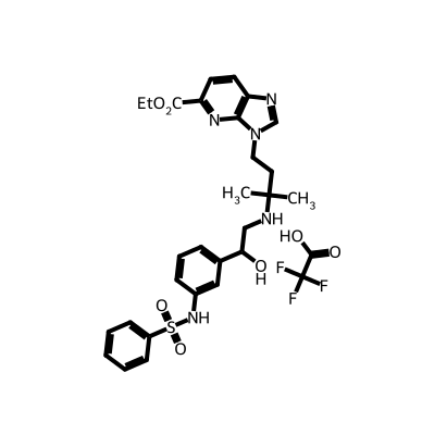 CCOC(=O)c1ccc2ncn(CCC(C)(C)NCC(O)c3cccc(NS(=O)(=O)c4ccccc4)c3)c2n1.O=C(O)C(F)(F)F